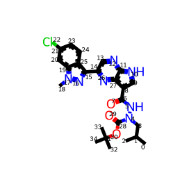 CC(C)CN(NC(=O)c1c[nH]c2ncc(-c3nn(C)c4cc(Cl)ccc34)nc12)C(=O)OC(C)(C)C